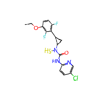 CCOc1ccc(F)c(C2CC2N(S)C(=O)Nc2ccc(Cl)cn2)c1F